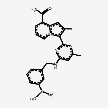 Cc1cc(NCc2cccc(B(O)O)c2)nc(-c2c(C)cc3c(C(N)=O)cccn23)n1